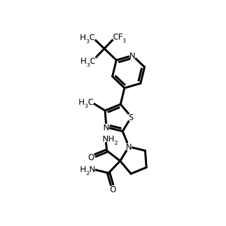 Cc1nc(N2CCCC2(C(N)=O)C(N)=O)sc1-c1ccnc(C(C)(C)C(F)(F)F)c1